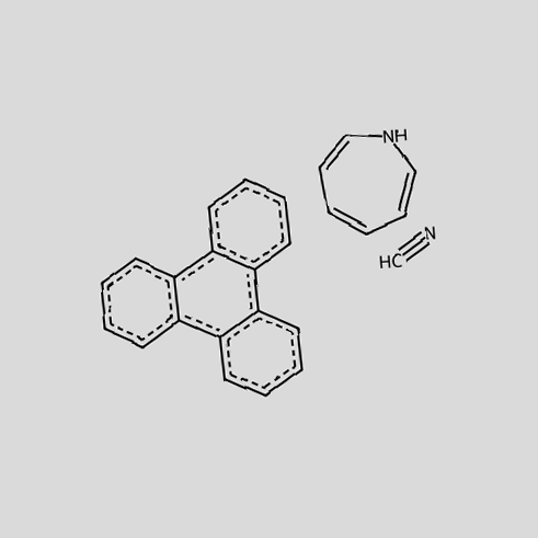 C#N.C1=CC=CNC=C1.c1ccc2c(c1)c1ccccc1c1ccccc21